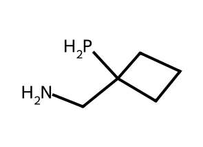 NCC1(P)CCC1